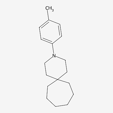 Cc1ccc(N2CCC3(CCCCCC3)CC2)cc1